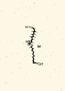 CCCCCCCC/C=C\CCCCCCCCOP(=O)(O)CCCCCCCC/C=C\CCCCCCCC.[Nd]